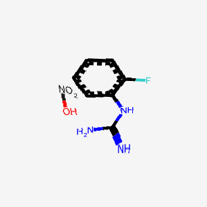 N=C(N)Nc1ccccc1F.O=[N+]([O-])O